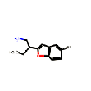 CCc1ccc2oc(C(CN)CC(=O)O)cc2c1